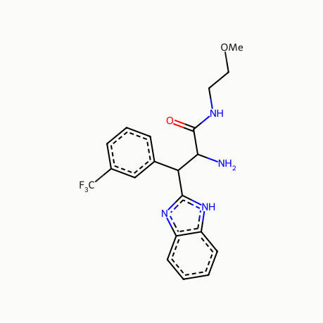 COCCNC(=O)C(N)C(c1cccc(C(F)(F)F)c1)c1nc2ccccc2[nH]1